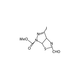 COC(=O)N1N=C(I)C2N=C(C=O)SC21